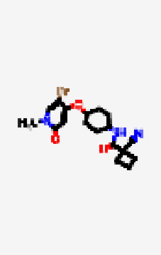 Cn1cc(Br)c(OC2CCC(NC(=O)C3(C#N)CCC3)CC2)cc1=O